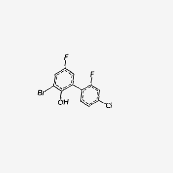 Oc1c(Br)cc(F)cc1-c1ccc(Cl)cc1F